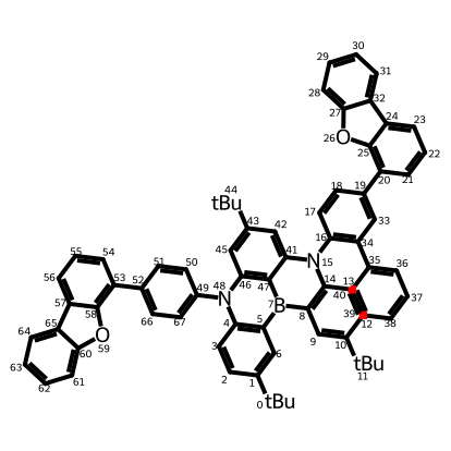 CC(C)(C)c1ccc2c(c1)B1c3cc(C(C)(C)C)ccc3N(c3ccc(-c4cccc5c4oc4ccccc45)cc3-c3ccccc3)c3cc(C(C)(C)C)cc(c31)N2c1ccc(-c2cccc3c2oc2ccccc23)cc1